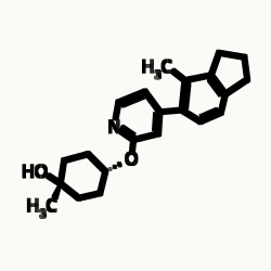 Cc1c(-c2ccnc(O[C@H]3CC[C@@](C)(O)CC3)c2)ccc2c1CCC2